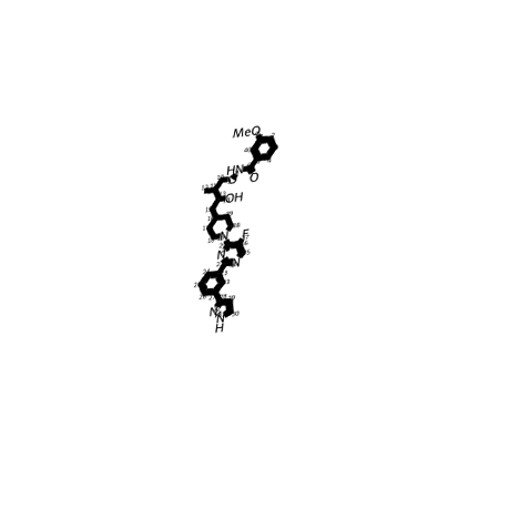 COc1cccc(C(=O)NOCC(C)C(O)CC2CCN(c3nc(-c4cccc(-c5cc[nH]n5)c4)ncc3F)CC2)c1